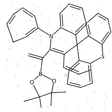 C=C(B1OC(C)(C)C(C)(C)O1)C1=C(/C=C\C)C2(c3ccccc3Sc3ccccc32)c2ccccc2N1C1=CCC=CC=C1